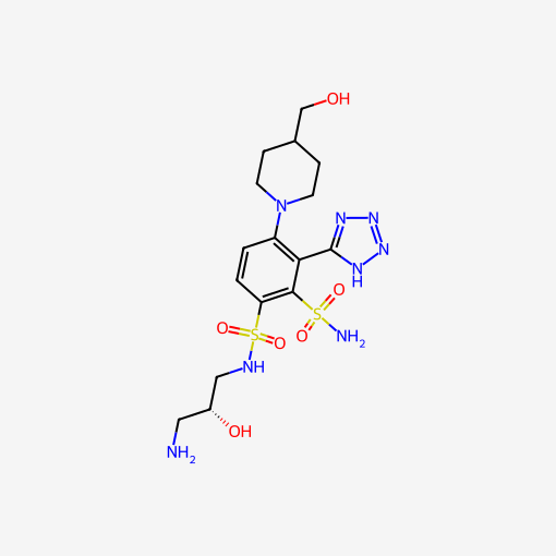 NC[C@@H](O)CNS(=O)(=O)c1ccc(N2CCC(CO)CC2)c(-c2nnn[nH]2)c1S(N)(=O)=O